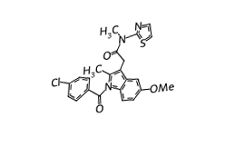 COc1ccc2c(c1)c(CC(=O)N(C)c1nccs1)c(C)n2C(=O)c1ccc(Cl)cc1